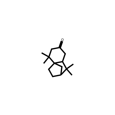 CC1(C)C2CCC3(C2)C1CC(=O)CC3(C)C